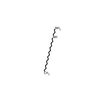 CCCCCCCCCCCCCCCCNCCCN